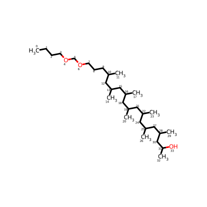 CCCCOCOCCCC(C)CC(C)CC(C)CC(C)CC(C)CC(C)CC(C)CC(C)O